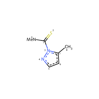 CNC(=S)n1nccc1C